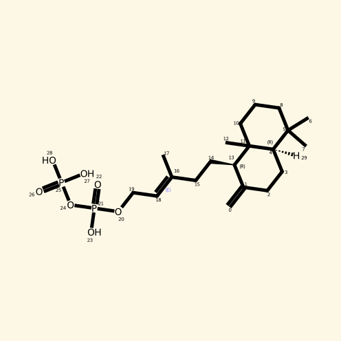 C=C1CC[C@@H]2C(C)(C)CCCC2(C)[C@@H]1CC/C(C)=C/COP(=O)(O)OP(=O)(O)O